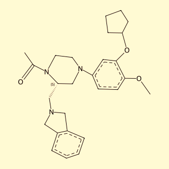 COc1ccc(N2CCN(C(C)=O)[C@@H](CN3Cc4ccccc4C3)C2)cc1OC1CCCC1